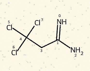 N=C(N)CC(Cl)(Cl)Cl